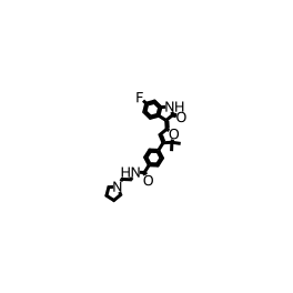 CC1(C)OC(=C2C(=O)Nc3cc(F)ccc32)C=C1c1ccc(C(=O)NCCN2CCCC2)cc1